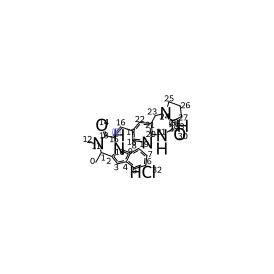 CC(c1cc2ccccc2[nH]1)N(C)C(=O)/C=C/c1cnc2c(c1)CN1CCC[C@H]1C(=O)N2.Cl